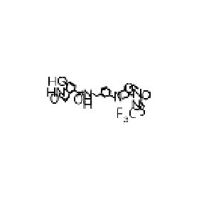 O=C(c1csc(C(F)(F)F)n1)N1CCOC2(CCN(Cc3cccc(CCNC[C@H](O)c4ccc(O)c5[nH]c(=O)ccc45)c3)CC2)C1